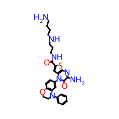 NCCCCNCCCNC(=O)c1cc2c(nc(N)c(=O)n2-c2ccc3c(c2)N(c2ccccc2)CCO3)s1